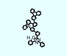 CN1C(c2cccc(-c3ccc(-n4c5c(c6cccc(-c7ccccc7-c7ccc8c(c7)C7C=CC=CC7c7ccccc7-8)c64)C=CCC5)cc3)c2)=NC(c2ccccc2)=NC1c1ccccc1